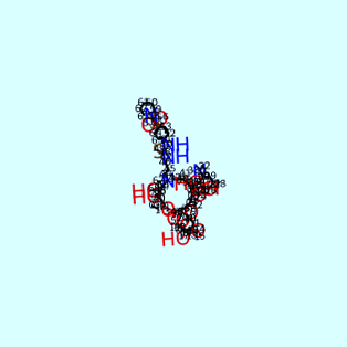 CC[C@H]1OC(=O)[C@H](C)[C@@H](O[C@H]2C[C@@](C)(OC)[C@@H](O)[C@H](C)O2)[C@H](C)[C@@H](O[C@@H]2O[C@H](C)C[C@H](N(C)C)[C@H]2O)[C@](C)(O)C[C@@H](C)CN(CCCNC(=S)Nc2ccc(S(=O)(=O)N3CCCCC3)cc2)[C@H](C)[C@@H](O)[C@]1(C)O